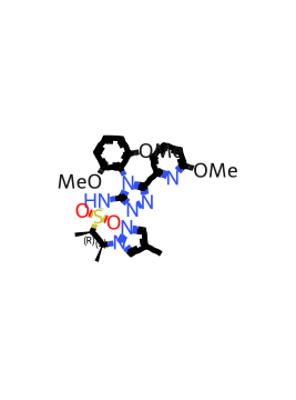 COc1cccc(-c2nnc(NS(=O)(=O)[C@H](C)[C@H](C)n3cc(C)cn3)n2-c2c(OC)cccc2OC)n1